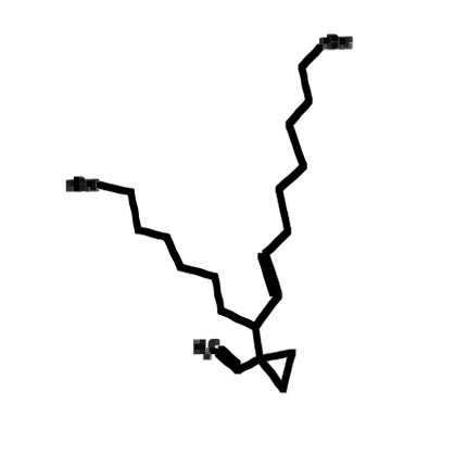 C=CC1(C(C=CCCCCCCCCCCCCCCCC)CCCCCCCCCCCCCCCC)CC1